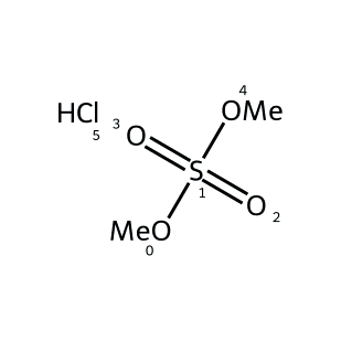 COS(=O)(=O)OC.Cl